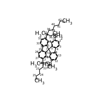 Bc1ccc2c(c1)C1(c3cc(B)ccc3-2)c2cc(C(C)(CC)CCCCC)ccc2-c2ccc(C(C)(CC)CCCCCC)cc21